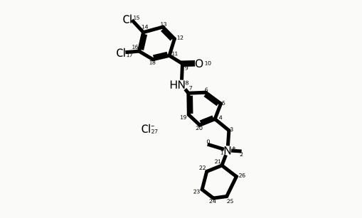 C[N+](C)(Cc1ccc(NC(=O)c2ccc(Cl)c(Cl)c2)cc1)C1CCCCC1.[Cl-]